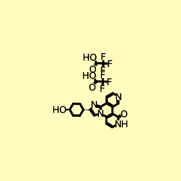 O=C(O)C(F)(F)F.O=C(O)C(F)(F)F.O=c1[nH]ccc2c1c1cnccc1c1nc([C@H]3CC[C@H](O)CC3)cn21